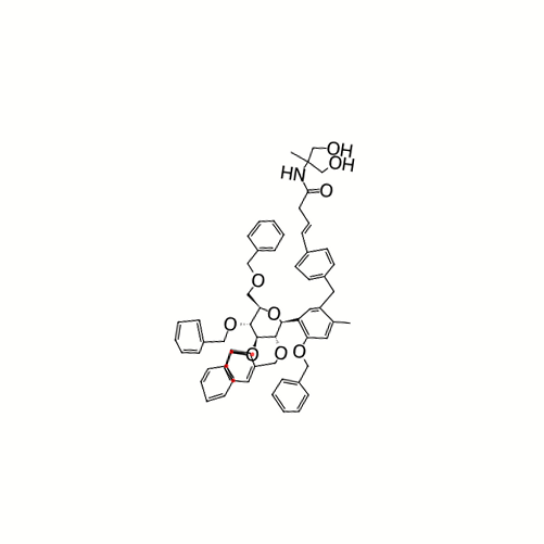 Cc1cc(OCc2ccccc2)c([C@@H]2O[C@H](COCc3ccccc3)[C@@H](OCc3ccccc3)[C@H](OCc3ccccc3)[C@H]2OCc2ccccc2)cc1Cc1ccc(/C=C/CC(=O)NC(C)(CO)CO)cc1